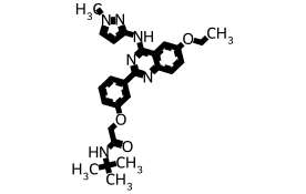 CCOc1ccc2nc(-c3cccc(OCC(=O)NC(C)(C)C)c3)nc(Nc3ccn(C)n3)c2c1